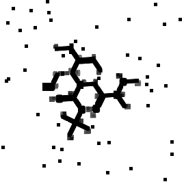 CC=C(CC)[C@@H](CO)N(CC(=O)N(C)OC)C(=O)OC(C)(C)C